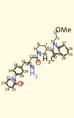 COCCCn1c(C2CCCN(C(=O)C[C@H](N)Cc3ccc(-n4ccccc4=O)cc3)C2)c(C)c2ccccc21